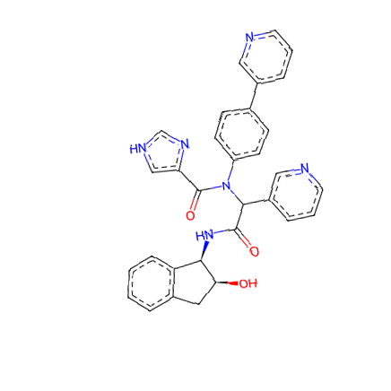 O=C(N[C@@H]1c2ccccc2C[C@@H]1O)C(c1cccnc1)N(C(=O)c1c[nH]cn1)c1ccc(-c2cccnc2)cc1